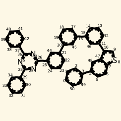 c1ccc(-c2ccc3scc(-c4cccc(-c5cccc(-c6cccc(-c7nc(-c8ccccc8)nc(-c8ccccc8)n7)c6)c5)c4)c3c2)cc1